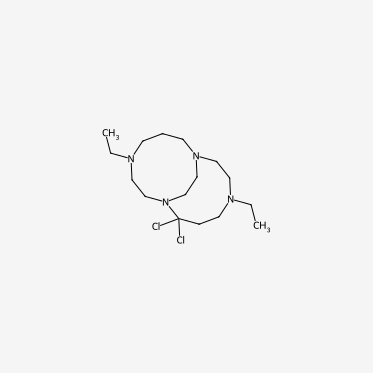 CCN1CCCN2CCN(CC)CCC(Cl)(Cl)N(CC1)CC2